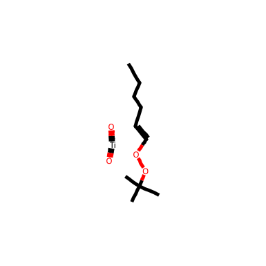 CCCCC=COOC(C)(C)C.[O]=[Ti]=[O]